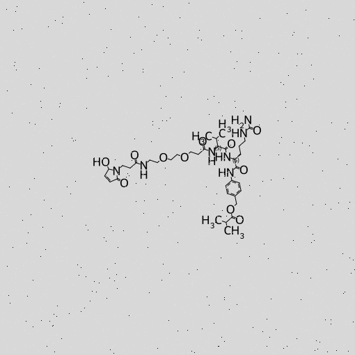 CC(C)C(=O)OCc1ccc(NC(=O)[C@H](CCCNC(N)=O)NC(=O)[C@@H](NC(=O)CCOCCOCCNC(=O)CCN2C(=O)C=CC2O)C(C)C)cc1